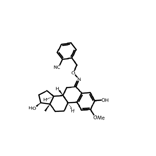 COc1cc2c(cc1O)C(=NOCc1ccccc1C#N)C[C@@H]1[C@@H]2CC[C@]2(C)[C@@H](O)CC[C@@H]12